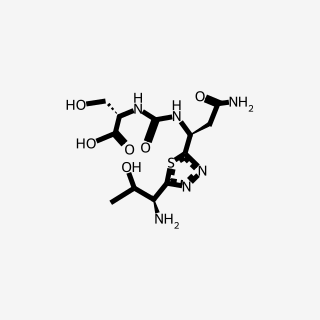 CC(O)[C@H](N)c1nnc([C@H](CC(N)=O)NC(=O)N[C@@H](CO)C(=O)O)s1